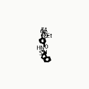 CCOP(=O)(Cc1ccc(C(=O)Nc2nc3c(s2)Cc2ccccc2-3)cc1)OCC